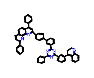 C1=CC(c2nc(-c3ccccc3)nc(-c3cccc(C4=c5ccccc5=NCC4)c3)n2)=CC(c2ccc(-c3cc(-c4ccccc4)c4ccc5ccc(-c6ccccc6)nc5c4n3)cc2)C1